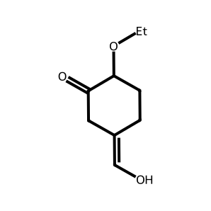 CCOC1CC/C(=C\O)CC1=O